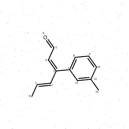 C/C=C/C(=C/C=O)c1cccc(C)c1